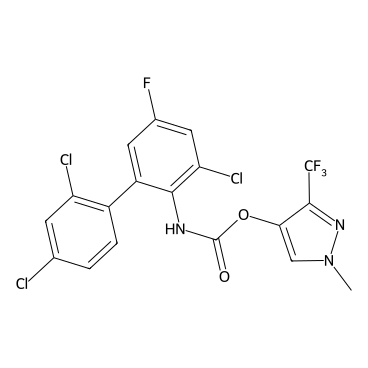 Cn1cc(OC(=O)Nc2c(Cl)cc(F)cc2-c2ccc(Cl)cc2Cl)c(C(F)(F)F)n1